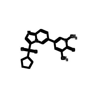 Cc1cc(-c2ccc3ncc(S(=O)(=O)C4CCCC4)n3c2)cn(C)c1=O